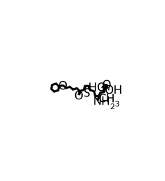 CC(N)(CCc1ccc(C(=O)CCCCOC2CCCCC2)s1)CCP(=O)(O)O